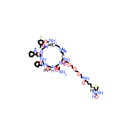 CC(C)C[C@H]1NC(=O)[C@@H](CC(N)=O)NC(=O)[C@@H](NC(=O)COCCOCCOCCNC(=O)CCCC[C@H]2SCC3NC(=O)N[C@H]32)Cc2cn(nn2)CCCC[C@@H](C(N)=O)NC(=O)[C@@H](Cc2ccc(F)cc2)NC(=O)[C@@H](Cc2cn(C)c3ccccc23)NC(=O)[C@@H](Cc2ccccc2)NC1=O